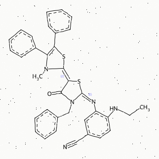 CCNc1ccc(C#N)cc1/N=C1/S/C(=C2\SC(c3ccccc3)=C(c3ccccc3)N2C)C(=O)N1Cc1ccccc1